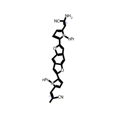 CCCn1c(/C=C(/C)C#N)ccc1-c1cc2cc3oc(-c4ccc(/C=C(/N)C#N)n4CCC)cc3cc2o1